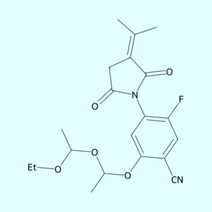 CCOC(C)OC(C)Oc1cc(N2C(=O)CC(=C(C)C)C2=O)c(F)cc1C#N